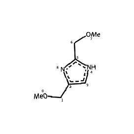 COCc1c[nH]c(COC)n1